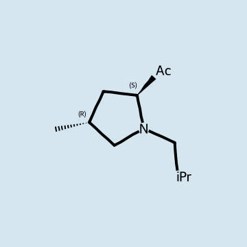 CC(=O)[C@@H]1C[C@@H](C)CN1CC(C)C